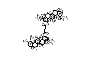 C[C@@H]1[C@H]2[C@H]3CC[C@@H]4[C@]5(C)[C@@H](CC[C@@]4(C)[C@]3(C)CC[C@@]2(C)CC[C@H]1C)C(C)(C)CCC5(OC(=O)CCC(=O)OC1(C(=O)O)CCC(C)(C)[C@@H]2CC[C@]3(C)[C@H](CC[C@@H]4[C@@H]5[C@@H](C)[C@H](C)CC[C@]5(C)CC[C@]43C)[C@]21C)C(=O)O